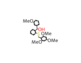 COc1cccc(C(O)c2ccccc2SCc2c(OC)cc(OC)cc2OC)c1